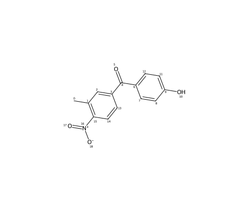 Cc1cc(C(=O)c2ccc(O)cc2)ccc1[N+](=O)[O-]